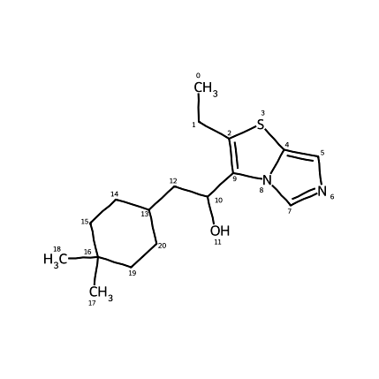 CCc1sc2cncn2c1C(O)CC1CCC(C)(C)CC1